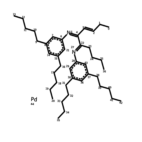 CCC=CC(=Nc1cc(CCCCC)cc(CCCCC)c1)C(CCCC)=Nc1cc(CCCCC)cc(CCCCC)c1.[Pd]